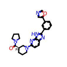 O=C([C@@H]1CCCN(c2ccc3nc(-c4cccc(-c5cnco5)c4)[nH]c3n2)C1)N1CCCC1